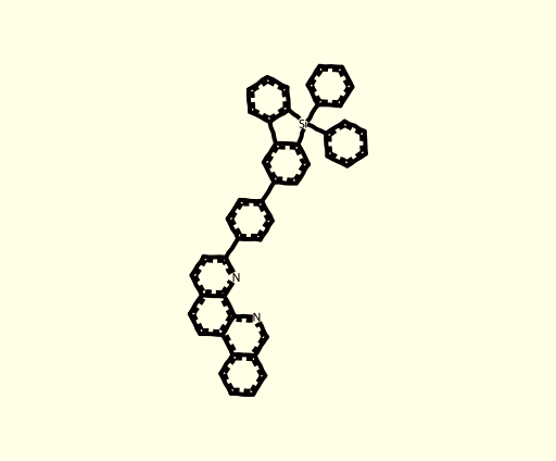 c1ccc([Si]2(c3ccccc3)c3ccccc3-c3cc(-c4ccc(-c5ccc6ccc7c8ccccc8cnc7c6n5)cc4)ccc32)cc1